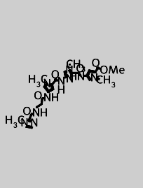 COC(=O)c1cc(NC(=O)c2nc(NC(=O)c3cc(NC(=O)CCNC(=O)c4nccn4C)cn3C)cn2C)cn1C